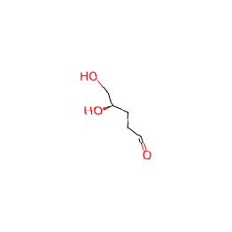 O=CCC[C@@H](O)CO